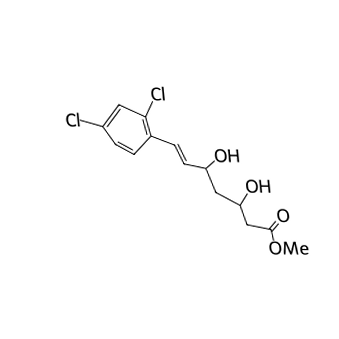 COC(=O)CC(O)CC(O)/C=C/c1ccc(Cl)cc1Cl